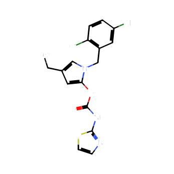 CC(C)Cc1cc(OC(=O)Nc2nccs2)n(Cc2cc(Cl)ccc2Cl)c1